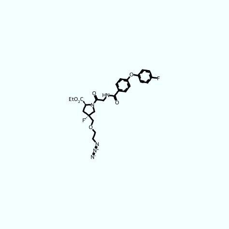 CCOC(=O)[C@@H]1C[C@](F)(COCCN=[N+]=[N-])CN1C(=O)CNC(=O)c1ccc(Oc2ccc(F)cc2)cc1